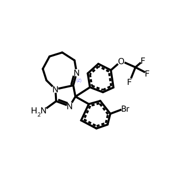 NC1=NC(c2ccc(OC(F)(F)F)cc2)(c2cccc(Br)c2)/C2=N/CCCCCN12